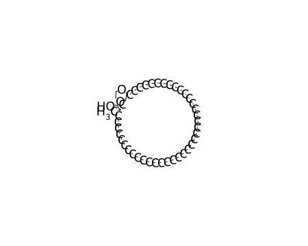 CC1(CO)CCCCCCCCCCCCCCCCCCCCCCCCCCCCCCCCCCCCCCC2(COCCO2)C1